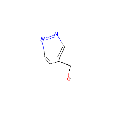 [O]Cc1ccnnc1